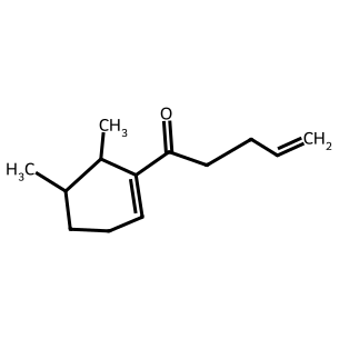 C=CCCC(=O)C1=CCCC(C)C1C